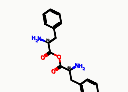 N[C@@H](Cc1ccccc1)C(=O)OC(=O)[C@@H](N)Cc1ccccc1